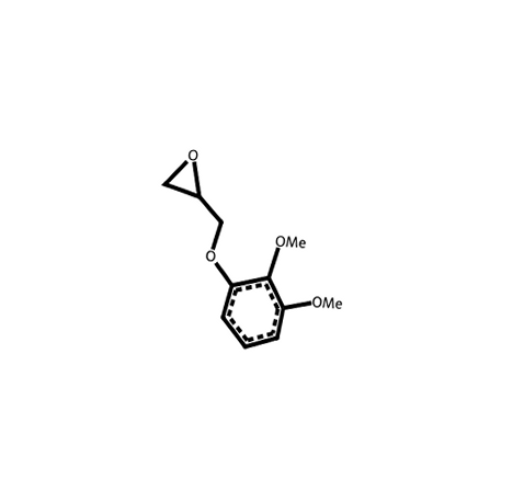 COc1cccc(OCC2CO2)c1OC